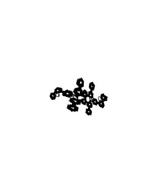 c1ccc(-c2ccc3c(c2)c2cccc4c5cc(-c6ccccc6)ccc5n(-c5ccc(-c6cccc7c6oc6ccccc67)cc5)c5ccc(-c6ccccc6)cc5c5cccc(c6cc(-c7ccccc7)ccc6n3-c3ccc(-c6cccc7c6oc6ccccc67)cc3)c5c24)cc1